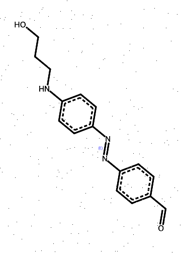 O=Cc1ccc(/N=N/c2ccc(NCCCO)cc2)cc1